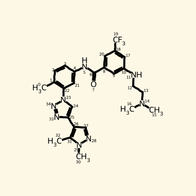 Cc1ccc(NC(=O)c2cc(NCCN(C)C)cc(C(F)(F)F)c2)cc1-n1cc(-c2cnn(C)c2C)nn1